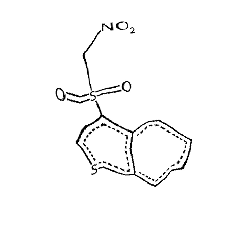 O=[N+]([O-])CS(=O)(=O)c1csc2ccccc12